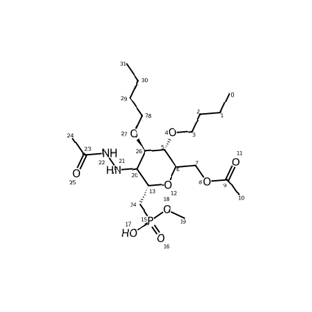 CCCCO[C@@H]1C(COC(C)=O)O[C@H](CP(=O)(O)OC)C(NNC(C)=O)[C@H]1OCCCC